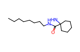 CCCCCCCCNC(=O)C1([NH])CCCCC1